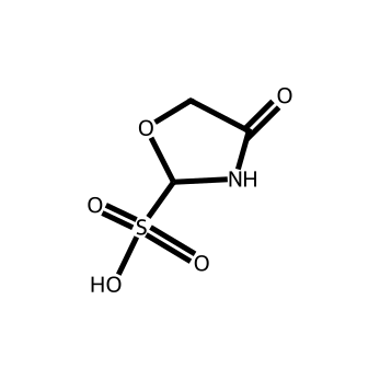 O=C1COC(S(=O)(=O)O)N1